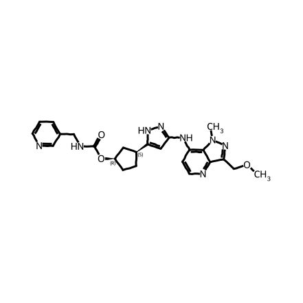 COCc1nn(C)c2c(Nc3cc([C@H]4CC[C@@H](OC(=O)NCc5cccnc5)C4)[nH]n3)ccnc12